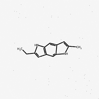 CCc1cc2cc3[nH]c(C)cc3cc2[nH]1